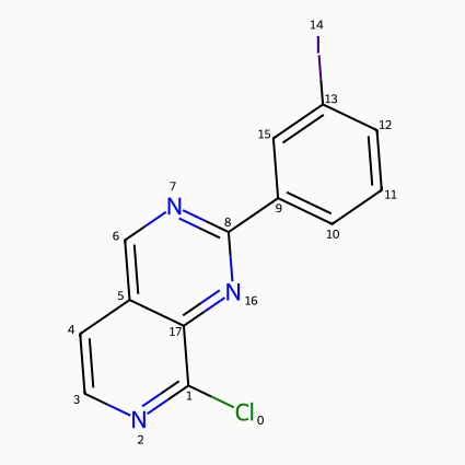 Clc1nccc2cnc(-c3cccc(I)c3)nc12